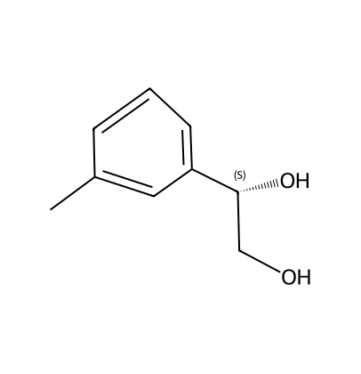 Cc1cccc([C@H](O)CO)c1